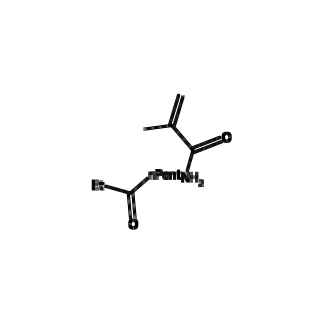 C=C(C)C(N)=O.CCCCCC(=O)CC